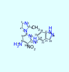 CC1=NCCN1c1cc(N)c([N+](=O)[O-])c(Nc2ccc3[nH]ncc3c2)n1